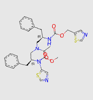 COC(=O)N(c1cncs1)[C@@H](Cc1ccccc1)CN(C[C@@H](Cc1ccccc1)NC(=O)OCc1cncs1)C(C)=O